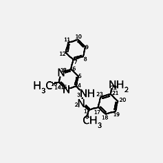 CC(=NNc1cc(-c2ccccc2)nc(C)n1)c1cccc(N)c1